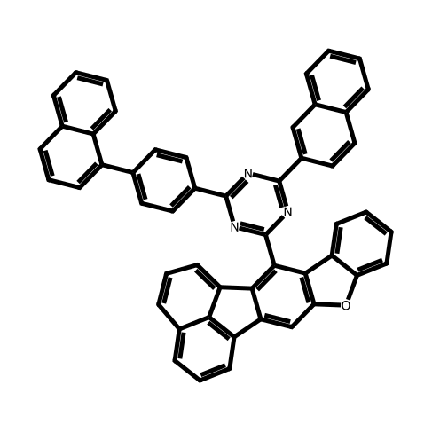 c1ccc2cc(-c3nc(-c4ccc(-c5cccc6ccccc56)cc4)nc(-c4c5c(cc6oc7ccccc7c46)-c4cccc6cccc-5c46)n3)ccc2c1